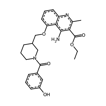 CCOC(=O)c1c(C)nc2cccc(OCC3CCCN(C(=O)c4cccc(O)c4)C3)c2c1N